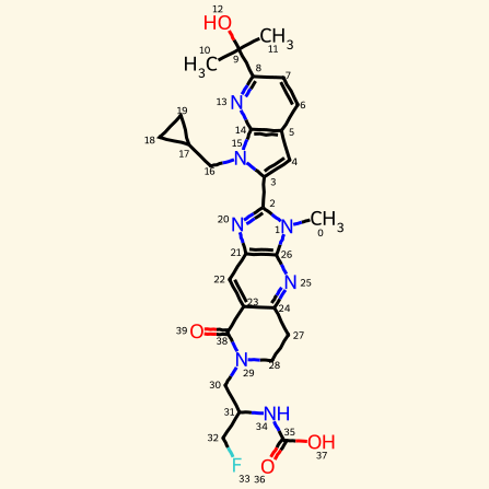 Cn1c(-c2cc3ccc(C(C)(C)O)nc3n2CC2CC2)nc2cc3c(nc21)CCN(CC(CF)NC(=O)O)C3=O